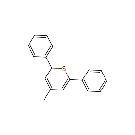 CC1=CC(c2ccccc2)SC(c2ccccc2)=C1